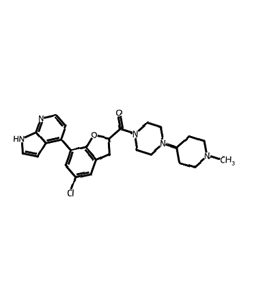 CN1CCC(N2CCN(C(=O)C3Cc4cc(Cl)cc(-c5ccnc6[nH]ccc56)c4O3)CC2)CC1